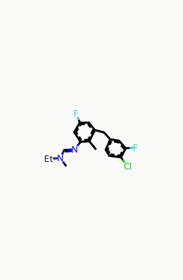 CCN(C)C=Nc1cc(F)cc(Cc2ccc(Cl)c(F)c2)c1C